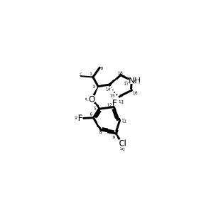 CC(C)[C@H](Oc1c(F)cc(Cl)cc1F)[C@H]1CCNC1